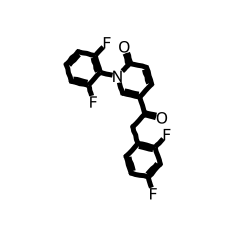 O=C(Cc1ccc(F)cc1F)c1ccc(=O)n(-c2c(F)cccc2F)c1